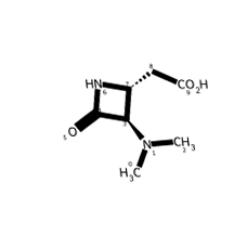 CN(C)[C@H]1C(=O)N[C@@H]1CC(=O)O